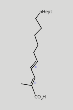 CCCCCCCCCCCC/C=C/C=C(\C)C(=O)O